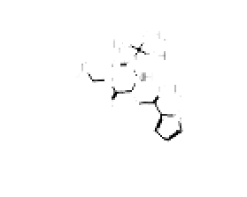 C=C(C[C@@H](N[S+]([O-])C(C)(C)C)C(=O)OCC)c1cccs1